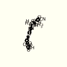 CC1(C)[C@H](NC(=O)c2cnc(N3CCN(C4CN(c5ccc6c(c5)C(=O)N(C5CCC(=O)NC5=O)C6=O)C4)CC3)cn2)C(C)(C)[C@H]1Oc1ccc(C#N)c(Cl)c1